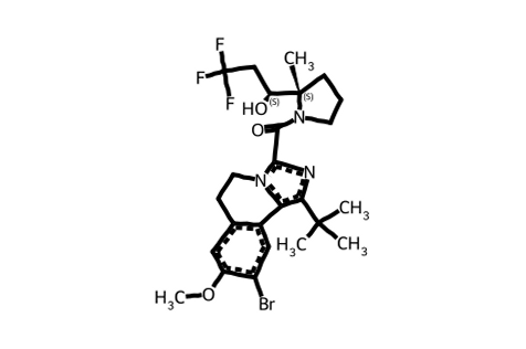 COc1cc2c(cc1Br)-c1c(C(C)(C)C)nc(C(=O)N3CCC[C@@]3(C)[C@@H](O)CC(F)(F)F)n1CC2